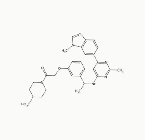 Cc1nc(NC(C)c2cccc(OCC(=O)N3CCC(C(=O)O)CC3)c2)cc(-c2ccc3ccn(C)c3c2)n1